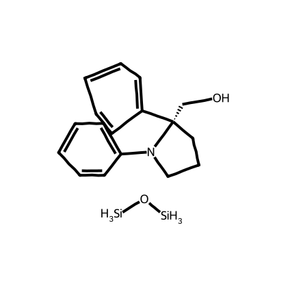 OC[C@]1(c2ccccc2)CCCN1c1ccccc1.[SiH3]O[SiH3]